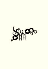 CN1C(=O)CCc2ccc(NC(=O)N[C@@H]3CC(CF)(CF)Oc4cc(F)ccc43)cc21